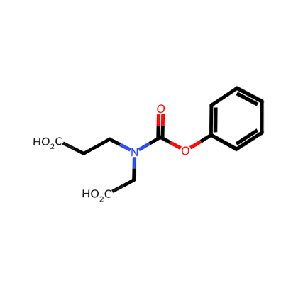 O=C(O)CCN(CC(=O)O)C(=O)Oc1ccccc1